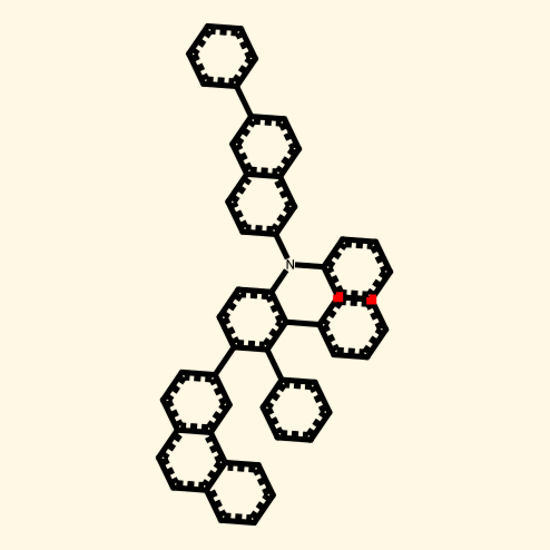 c1ccc(-c2ccc3cc(N(c4ccccc4)c4ccc(-c5ccc6ccc7ccccc7c6c5)c(-c5ccccc5)c4-c4ccccc4)ccc3c2)cc1